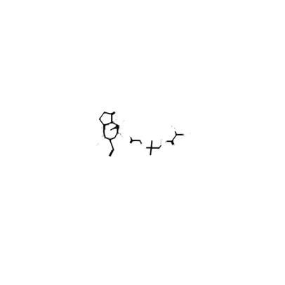 C=C[C@]1(C)C[C@@H](OC(=O)CSC(C)(C)CNC(=O)C(N)C(C)C)[C@]2(C)[C@H](C)CC[C@]3(CCC(=O)[C@H]32)[C@@H](C)[C@@H]1C